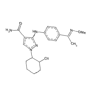 CON=C(C)c1ccc(Nc2nn(C3CCCCC3C#N)cc2C(N)=O)cc1